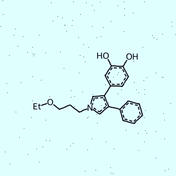 CCOCCCn1cc(-c2ccccc2)c(-c2ccc(O)c(O)c2)c1